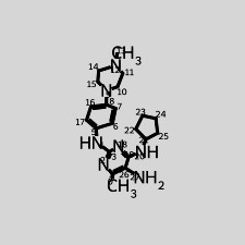 Cc1nc(Nc2ccc(N3CCN(C)CC3)cc2)nc(NC2CCCC2)c1N